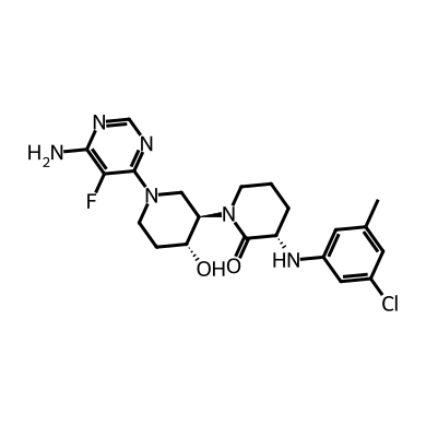 Cc1cc(Cl)cc(N[C@H]2CCCN([C@@H]3CN(c4ncnc(N)c4F)CC[C@H]3O)C2=O)c1